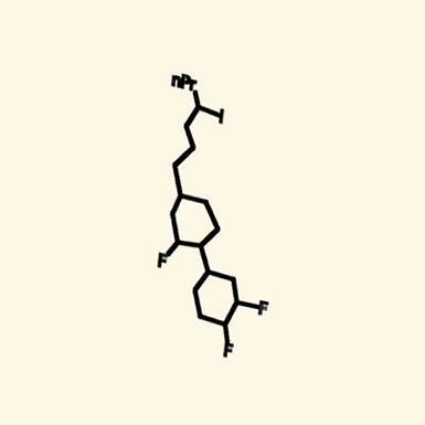 CCCC(I)CCCC1CCC(C2CCC(F)C(F)C2)C(F)C1